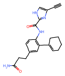 C#Cc1c[nH]c(C(=O)Nc2ccc(CCC(N)=O)cc2C2=CCCCC2)n1